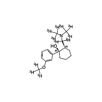 [2H]C([2H])([2H])Oc1cccc([C@@]2(O)CCCC[C@@H]2C([2H])([2H])N(C([2H])([2H])[2H])C([2H])([2H])[2H])c1